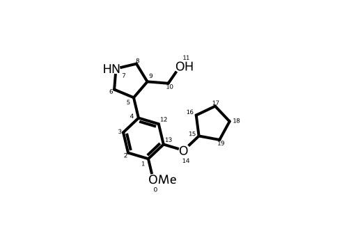 COc1ccc(C2CNCC2CO)cc1OC1CCCC1